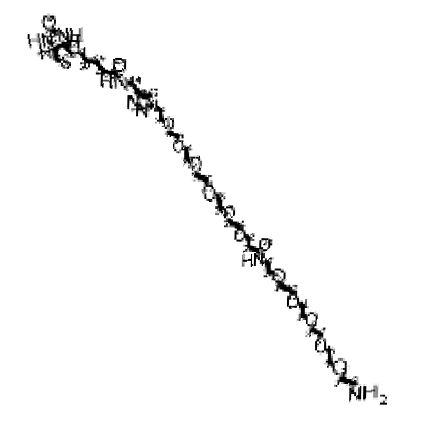 NCCOCCOCCOCCOCCOCCNC(=O)CCOCCOCCOCCOCCOCCOCCn1cc(CNC(=O)CCCC[C@@H]2SC[C@H]3NC(=O)N[C@@H]23)nn1